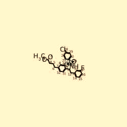 COC(=O)CCCc1ccc(C(Cc2cccc(F)c2)NS(=O)(=O)c2ccc(Cl)cc2)cc1